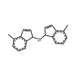 Cc1cccc2c1C=C[CH]2[Zr][CH]1C=Cc2c(C)cccc21